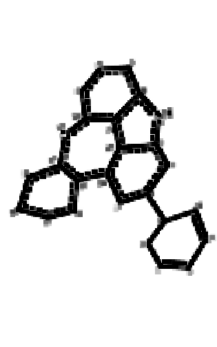 C1=CCC(c2cc3[nH]c4cccc5oc6ccccc6c(c2)c3c45)C=C1